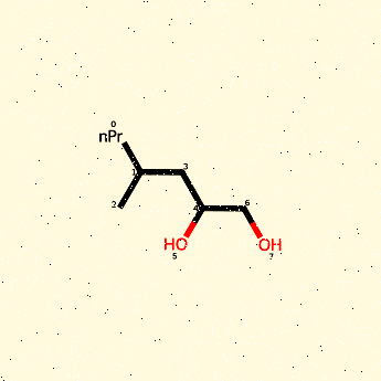 [CH2]CCC(C)CC(O)CO